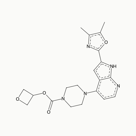 Cc1nc(-c2cc3c(N4CCN(C(=O)OC5COC5)CC4)ccnc3[nH]2)oc1C